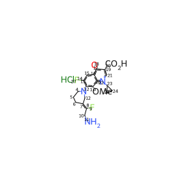 COc1c(N2CCCC(=C(F)CN)C2)c(F)cc2c(=O)c(C(=O)O)cn(C3CC3)c12.Cl